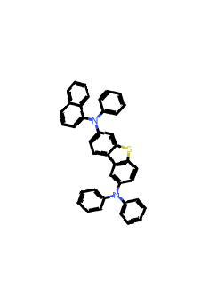 c1ccc(N(c2ccccc2)c2ccc3sc4cc(N(c5ccccc5)c5cccc6ccccc56)ccc4c3c2)cc1